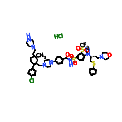 CC1(CCN2CCNCC2)CCC(c2ccc(Cl)cc2)=C(CN2CCN(c3ccc(C(=O)NS(=O)(=O)c4ccc(N[C@H](CCN5CCOCC5)CSc5ccccc5)c(S(=O)(=O)C(F)(F)F)c4)cc3)CC2)C1.Cl